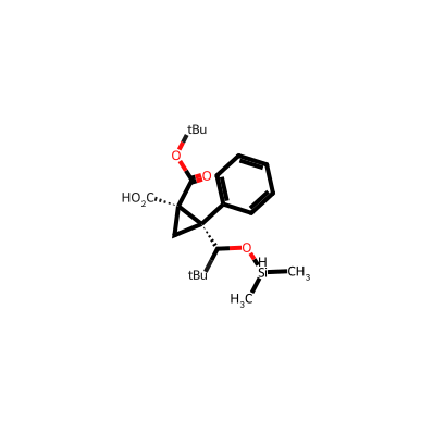 C[SiH](C)OC(C(C)(C)C)[C@]1(c2ccccc2)C[C@@]1(C(=O)O)C(=O)OC(C)(C)C